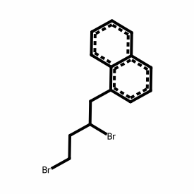 BrCCC(Br)Cc1cccc2ccccc12